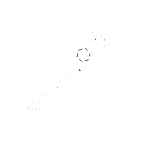 CNCCOCCOCCNC(=O)c1ccc(CC(C)(C)N)cc1